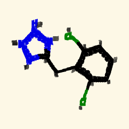 Clc1cccc(Cl)c1Cc1nn[nH]n1